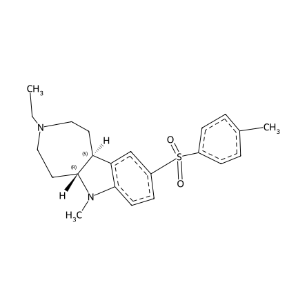 CCN1CC[C@@H]2[C@@H](CC1)c1cc(S(=O)(=O)c3ccc(C)cc3)ccc1N2C